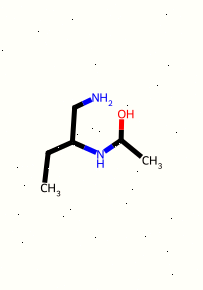 CCC(CN)NC(C)O